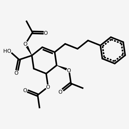 CC(=O)OC1C[C@](OC(C)=O)(C(=O)O)C=C(CCCc2ccccc2)[C@H]1OC(C)=O